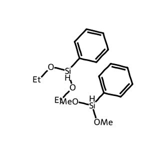 CCO[SiH](OCC)c1ccccc1.CO[SiH](OC)c1ccccc1